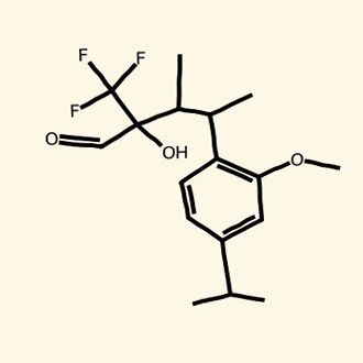 COc1cc(C(C)C)ccc1C(C)C(C)C(O)(C=O)C(F)(F)F